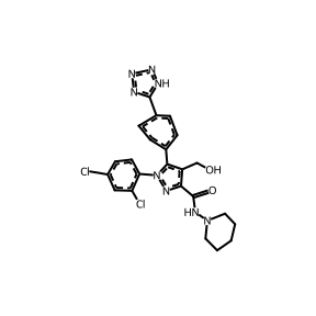 O=C(NN1CCCCC1)c1nn(-c2ccc(Cl)cc2Cl)c(-c2ccc(-c3nnn[nH]3)cc2)c1CO